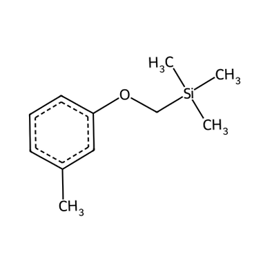 Cc1cccc(OC[Si](C)(C)C)c1